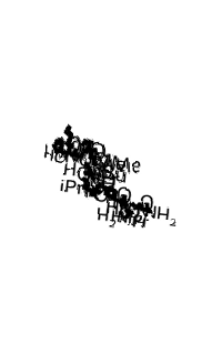 C=CCCC(=O)[C@@H](NC(=O)[C@H](C)[C@@H](OC)[C@@H]1CCCN1C(=O)C[C@@H](OC)[C@H]([C@@H](C)CC)N(C)C(=O)[C@@H](NC(=C)[C@H](C(C)C)N(C)C(=O)OCc1ccc(NC(=O)[C@H](CCCNC(N)=O)NC(=O)[C@@H](N)C(C)C)cc1)C(C)C)[C@@H](O)c1ccccc1